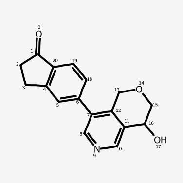 O=C1CCc2cc(-c3cncc4c3COCC4O)ccc21